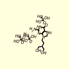 Nc1nc2c(c(=O)[nH]1)NCN2CCC(CO)CO.O=P(O)(O)O.O=P(O)(O)O.O=P(O)(O)O